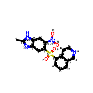 Cc1nc2cc(S(=O)(=O)c3cccc4cnccc34)c([N+](=O)[O-])cc2[nH]1